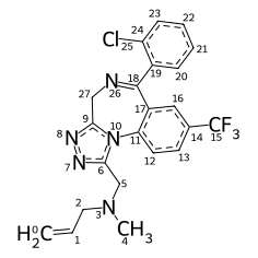 C=CCN(C)Cc1nnc2n1-c1ccc(C(F)(F)F)cc1C(c1ccccc1Cl)=NC2